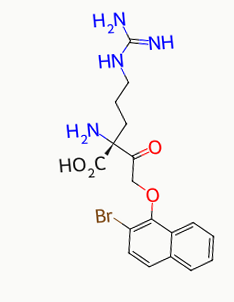 N=C(N)NCCC[C@](N)(C(=O)O)C(=O)COc1c(Br)ccc2ccccc12